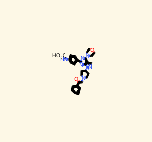 O=C(O)Nc1ccc(-c2nc(N3CCOCC3)c3cnn(C4CCN(CC(=O)c5ccccc5)CC4)c3n2)cc1